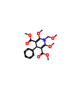 COCN1C(OC)=C(C(=O)OC)C(c2ccccc2)C(C(=O)OC)=C1OC